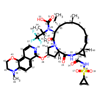 CC[C@@H]1C[C@@H](C)CC/C=C\[C@@H]2C[C@@]2(C(=O)NS(=O)(=O)C2CC2)NC(=O)[C@@H]2C[C@@H](Oc3nccc4c5c(ccc34)N(C)CCO5)CN2C(=O)[C@H]1N(C(=O)O)C(C)(C)C(F)(F)F